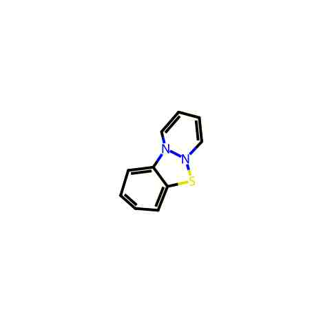 C1=CN2Sc3ccccc3N2C=C1